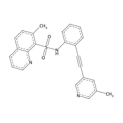 Cc1cncc(C#Cc2ccccc2NS(=O)(=O)c2c(C)ccc3cccnc23)c1